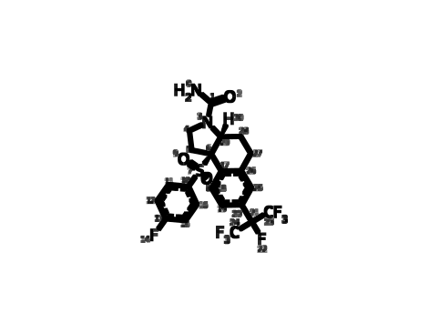 NC(=O)N1CC[C@@]2(S(=O)(=O)c3ccc(F)cc3)c3ccc(C(F)(C(F)(F)F)C(F)(F)F)cc3CC[C@@H]12